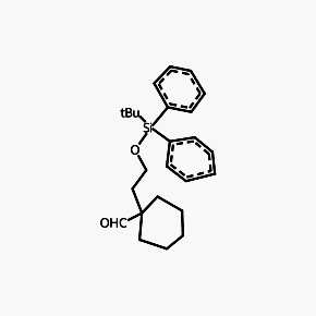 CC(C)(C)[Si](OCCC1(C=O)CCCCC1)(c1ccccc1)c1ccccc1